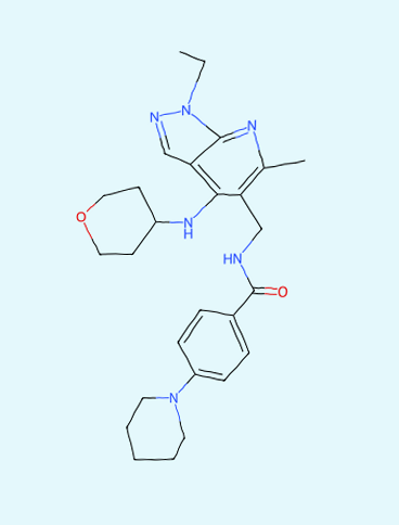 CCn1ncc2c(NC3CCOCC3)c(CNC(=O)c3ccc(N4CCCCC4)cc3)c(C)nc21